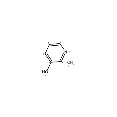 C.Oc1cccnc1